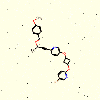 COc1ccc(COC(C)C#Cc2ccc(OC3CC(Oc4ccc(Br)cn4)C3)cn2)cc1